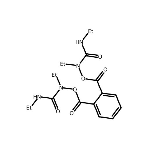 CCNC(=O)N(CC)OC(=O)c1ccccc1C(=O)ON(CC)C(=O)NCC